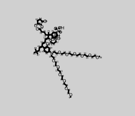 COCCOCCOCCOCCOCCOCCN(CCOCCOCCOCCOCCOCCOC)c1ccc(C(=C\CC(C)(C)C)/C=C/C=C2\N(CCCS(=O)(=O)O)c3ccc(S(=O)(=O)O)cc3C2(C)CCCC(=O)ON2C(=O)CCC2=O)c(O)c1